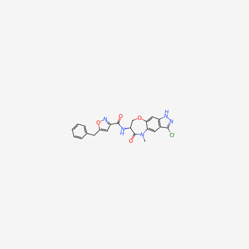 CN1C(=O)[C@@H](NC(=O)c2cc(Cc3ccccc3)on2)COc2cc3[nH]nc(Cl)c3cc21